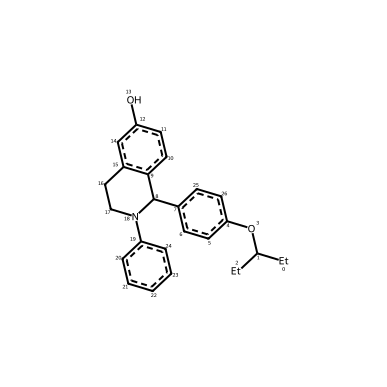 CCC(CC)Oc1ccc(C2c3ccc(O)cc3CCN2c2ccccc2)cc1